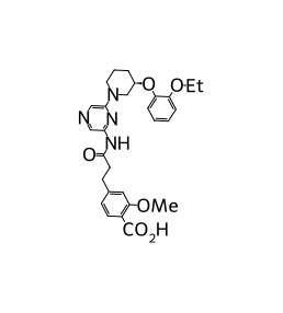 CCOc1ccccc1O[C@@H]1CCCN(c2cncc(NC(=O)CCc3ccc(C(=O)O)c(OC)c3)n2)C1